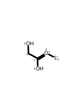 OCC(O)=[O+][S-]